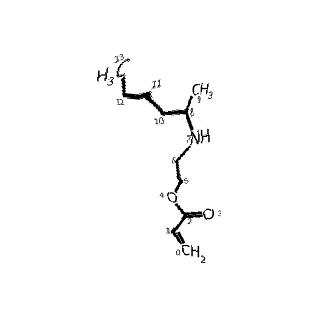 C=CC(=O)OCCNC(C)CCCC